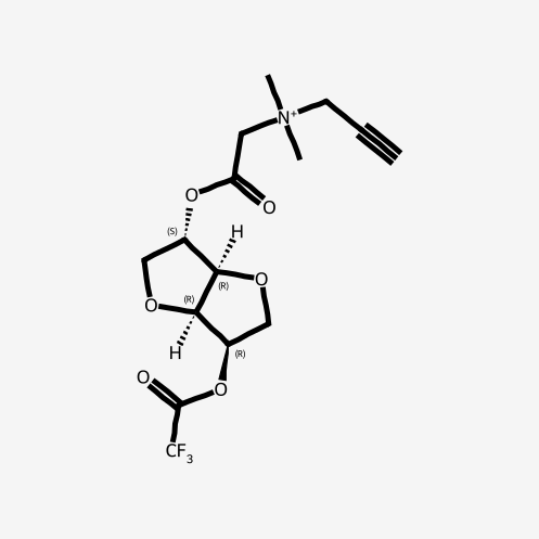 C#CC[N+](C)(C)CC(=O)O[C@H]1CO[C@H]2[C@@H]1OC[C@H]2OC(=O)C(F)(F)F